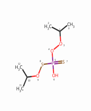 CC(C)OOP(O)(=S)SOC(C)C